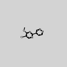 COc1nc(-c2ccnnc2)ncc1Cl